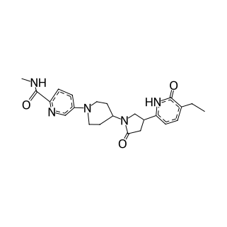 CCc1ccc(C2CC(=O)N(C3CCN(c4ccc(C(=O)NC)nc4)CC3)C2)[nH]c1=O